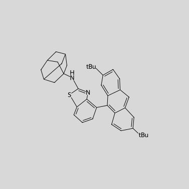 CC(C)(C)c1ccc2c(-c3cccc4sc(NC56CC7CC(CC(C7)C5)C6)nc34)c3cc(C(C)(C)C)ccc3cc2c1